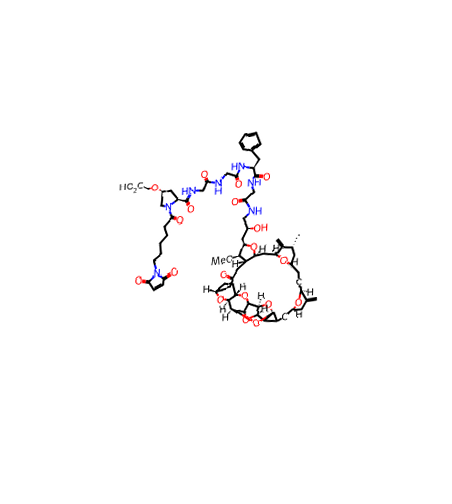 C=C1C[C@@H]2CC3C4[C@H]5OC6C7O[C@H]8CC[C@H](CC(=O)C[C@@H]9[C@@H](OC)[C@@H](C[C@H](O)CNC(=O)CNC(=O)[C@H](Cc%10ccccc%10)NC(=O)CNC(=O)CNC(=O)[C@@H]%10C[C@@H](OCC(=O)O)CN%10C(=O)CCCCCN%10C(=O)C=CC%10=O)O[C@H]9C[C@H]9O[C@@H](CC[C@@H]1O2)C[C@@H](C)C9=C)O[C@@H]8[C@@H]6O[C@@]34O[C@H]75